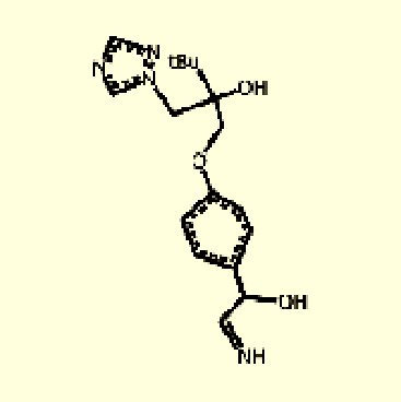 CC(C)(C)C(O)(COc1ccc(C(O)C=N)cc1)Cn1cncn1